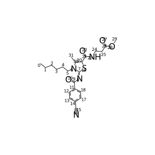 CCCCCCN1C(=NC(=O)c2ccc(C#N)cc2)SC(C(=O)NCCC(=O)OC)C1C